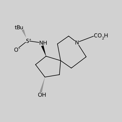 CC(C)(C)[S@@+]([O-])N[C@@H]1C[C@@H](O)CC12CCN(C(=O)O)CC2